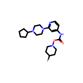 O=C(Nc1ccnc(N2CCN(C3CCCC3)CC2)c1)ON1CCC(F)CC1